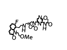 COCCn1c(=O)ccc2ccc(F)c(CCNC[C@H]3CN(c4cnc5c(n4)NC(=O)CO5)C(=O)O3)c21